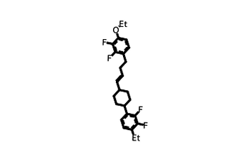 CCOc1ccc(CC/C=C/C2CCC(c3ccc(CC)c(F)c3F)CC2)c(F)c1F